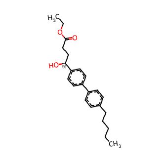 CCCCCc1ccc(-c2ccc([C@@H](O)CCC(=O)OCC)cc2)cc1